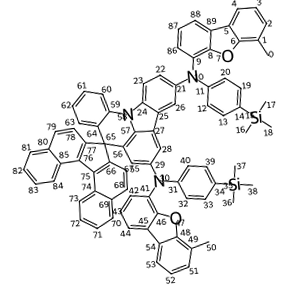 Cc1cccc2c1oc1c(N(c3ccc([Si](C)(C)C)cc3)c3ccc4c(c3)c3cc(N(c5ccc([Si](C)(C)C)cc5)c5cccc6c5oc5c(C)cccc56)cc5c3n4-c3ccccc3C53c4ccc5ccccc5c4-c4c3ccc3ccccc43)cccc12